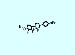 CCCc1ccc(C2CCC(c3ccc(OCC)c(F)c3F)C(F)(F)C2)cc1